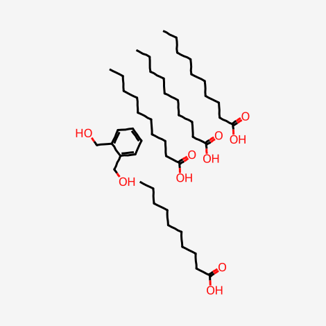 CCCCCCCCCC(=O)O.CCCCCCCCCC(=O)O.CCCCCCCCCC(=O)O.CCCCCCCCCC(=O)O.OCc1ccccc1CO